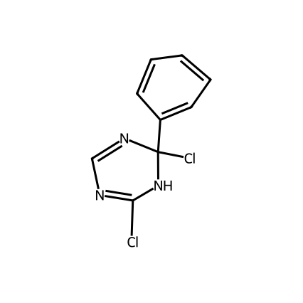 ClC1=NC=NC(Cl)(c2ccccc2)N1